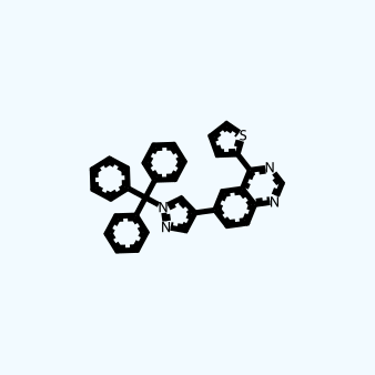 c1ccc(C(c2ccccc2)(c2ccccc2)n2cc(-c3ccc4ncnc(-c5cccs5)c4c3)cn2)cc1